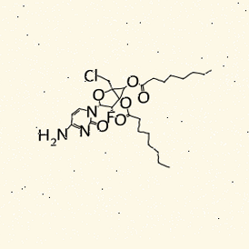 CCCCCCCC(=O)OC1[C@@]2(CCl)O[C@@H](n3ccc(N)nc3=O)[C@H](F)[C@@]12OC(=O)CCCCCCC